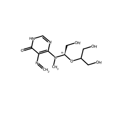 C=Nc1c(N(C)[C@@H](CO)OC(CO)CO)nc[nH]c1=O